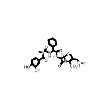 CC(=O)OCC1=C(C(=O)O)N2C(=O)C(NC(=O)C(NC(=O)N(C)C(=O)c3ccc(O)c(O)c3)c3ccccc3)[C@@H]2SC1